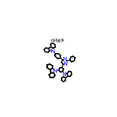 CCCCCCc1ccc2c(c1)c1ccccc1n2-c1ccc(-c2cc(-c3cc(-n4c5ccccc5c5ccccc54)cc(-n4c5ccccc5c5ccccc54)c3)nc(-c3ccccc3)n2)cc1